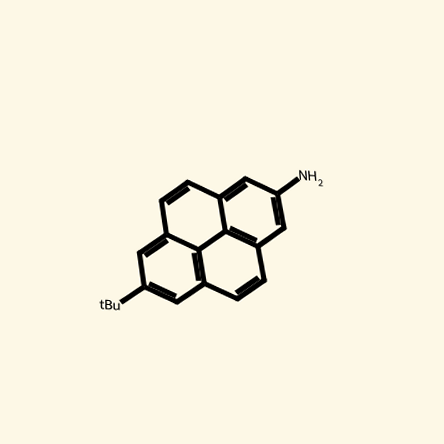 CC(C)(C)c1cc2ccc3cc(N)cc4ccc(c1)c2c34